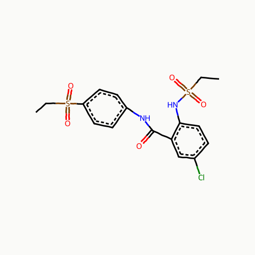 CCS(=O)(=O)Nc1ccc(Cl)cc1C(=O)Nc1ccc(S(=O)(=O)CC)cc1